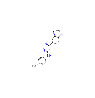 FC(F)(F)c1ccc(Nc2cc(-c3ccc4nccnc4c3)ncn2)cc1